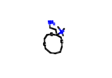 C[N+](C)(C)C1(CCN)CCCCCCCCCCC1